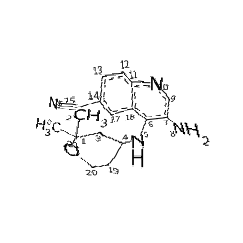 CC1(C)CC(Nc2c(N)cnc3ccc(C#N)cc23)CCO1